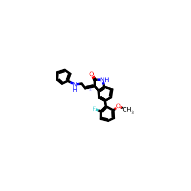 COc1cccc(F)c1-c1ccc2c(c1)/C(=C/CNc1ccccc1)C(=O)N2